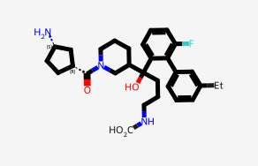 CCc1cccc(-c2c(F)cccc2C(O)(CCCNC(=O)O)C2CCCN(C(=O)[C@@H]3CC[C@H](N)C3)C2)c1